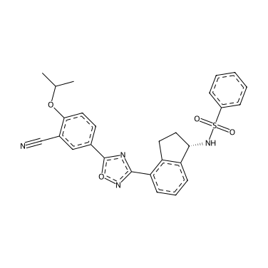 CC(C)Oc1ccc(-c2nc(-c3cccc4c3CC[C@@H]4NS(=O)(=O)c3ccccc3)no2)cc1C#N